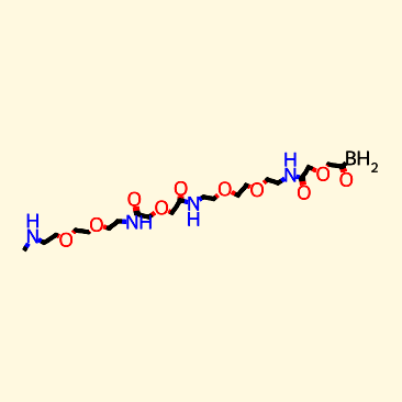 BC(=O)COCC(=O)NCCOCCOCCNC(=O)COCC(=O)NCCOCCOCCNC